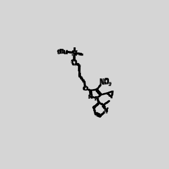 Cc1ncccc1-n1nc(OCCCO[Si](C)(C)C(C)(C)C)c([N+](=O)[O-])c1C1CC1